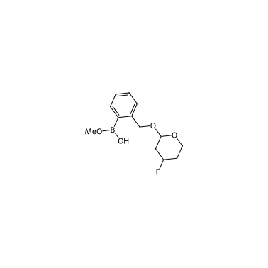 COB(O)c1ccccc1COC1CC(F)CCO1